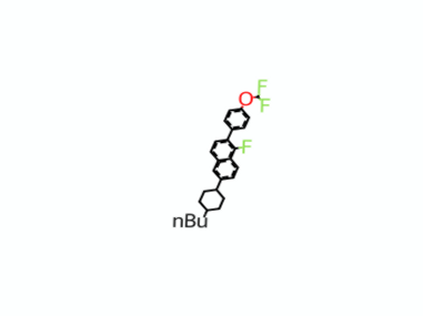 CCCCC1CCC(c2ccc3c(F)c(-c4ccc(OC(F)F)cc4)ccc3c2)CC1